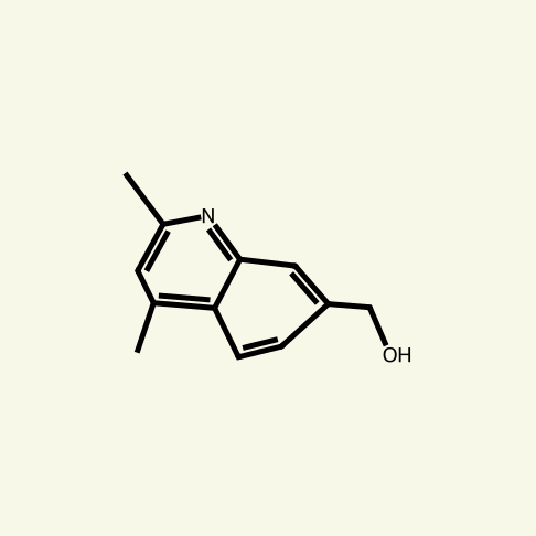 Cc1cc(C)c2ccc(CO)cc2n1